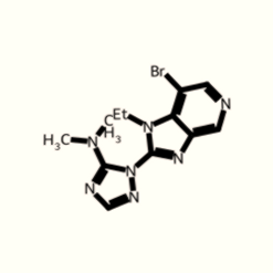 CCn1c(-n2ncnc2N(C)C)nc2cncc(Br)c21